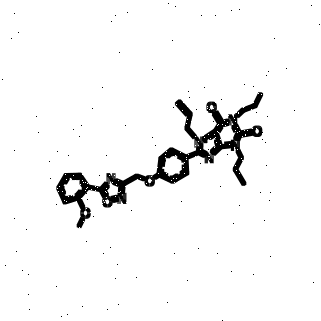 C=CCn1c(-c2ccc(OCc3noc(-c4ccccc4OC)n3)cc2)nc2c1c(=O)n(CCC)c(=O)n2CCC